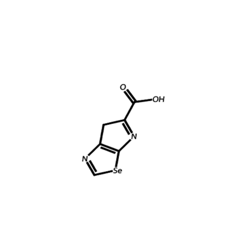 O=C(O)C1=Nc2[se]cnc2C1